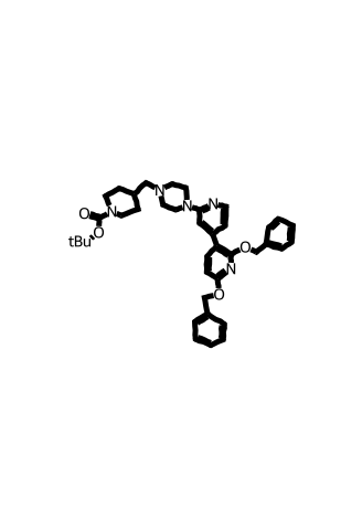 CC(C)(C)OC(=O)N1CCC(CN2CCN(c3cc(-c4ccc(OCc5ccccc5)nc4OCc4ccccc4)ccn3)CC2)CC1